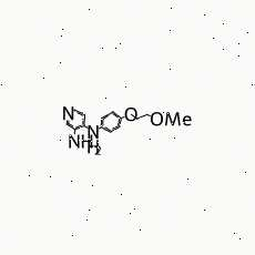 COCCOc1ccc(Nc2ccncc2N)cc1